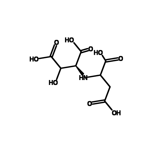 O=C(O)CC(N[C@H](C(=O)O)C(O)C(=O)O)C(=O)O